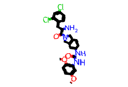 COc1ccc(OC)c(NC(=O)Nc2ccc3c(c2)CN(C(=O)C(N)Cc2ccc(Cl)cc2Cl)C3)c1